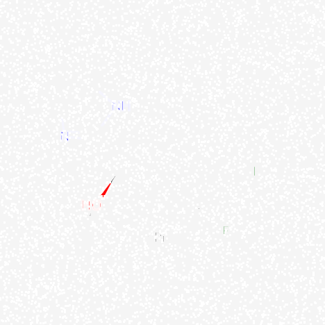 CCCc1c([C@@H](O)c2ncc[nH]2)ccc(F)c1F